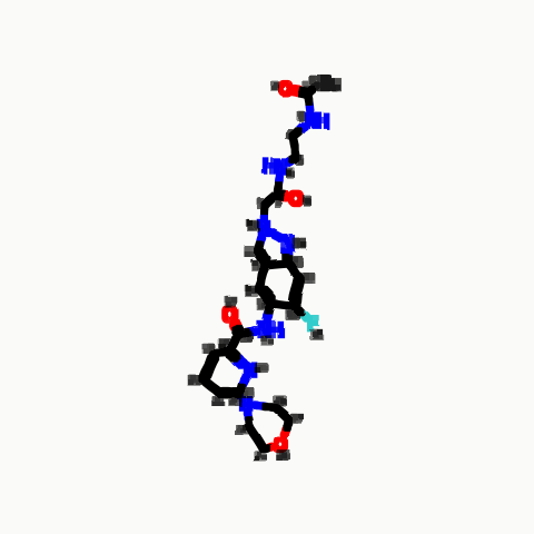 CCC(C)C(=O)NCCNC(=O)Cn1cc2cc(NC(=O)c3cccc(N4CCOCC4)n3)c(F)cc2n1